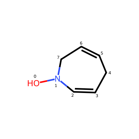 ON1C=CCC=CC1